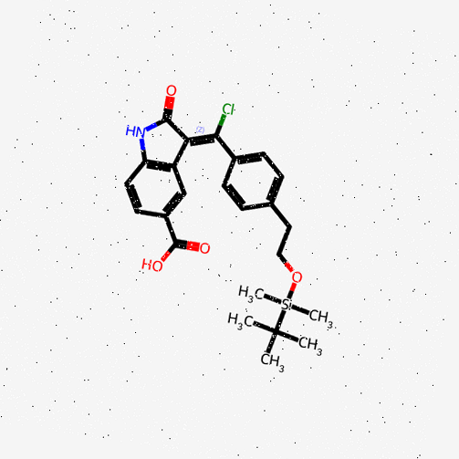 CC(C)(C)[Si](C)(C)OCCc1ccc(/C(Cl)=C2/C(=O)Nc3ccc(C(=O)O)cc32)cc1